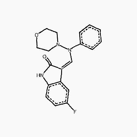 O=C1Nc2ccc(F)cc2/C1=C/N(c1ccccc1)N1CCOCC1